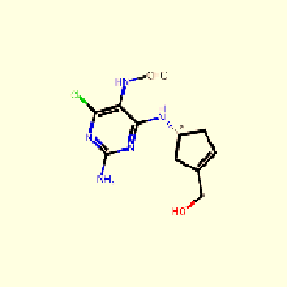 Nc1nc(Cl)c(NC=O)c(N[C@@H]2CC=C(CO)C2)n1